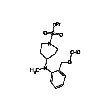 CCCS(=O)(=O)N1CCC(N(C)c2ccccc2COC=O)CC1